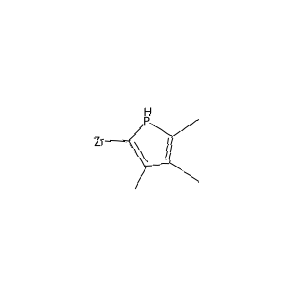 Cc1[pH][c]([Zr])c(C)c1C